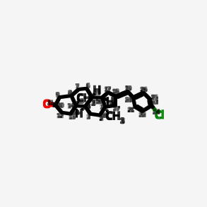 C[C@]12CC[C@@H]3[C@@H](CCC4CC(=O)CC[C@@]43C)[C@@H]1CC(=Cc1ccc(Cl)cc1)C2